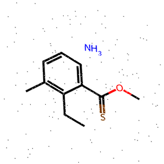 CCc1c(C)cccc1C(=S)OC.N